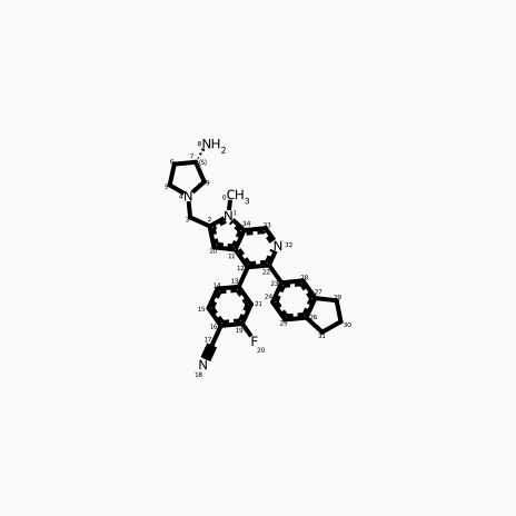 Cn1c(CN2CC[C@H](N)C2)cc2c(-c3ccc(C#N)c(F)c3)c(-c3ccc4c(c3)CCC4)ncc21